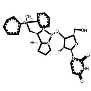 C[Si](C[C@H]1O[P@](OC2[C@@H](CO)O[C@@H](n3ccc(=O)[nH]c3=O)[C@H]2F)N2CCC[C@@H]12)(c1ccccc1)c1ccccc1